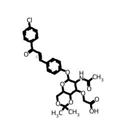 CC(=O)NC1C(Oc2ccc(/C=C/C(=O)c3ccc(Cl)cc3)cc2)OC2COC(C)(C)OC2C1OCC(=O)O